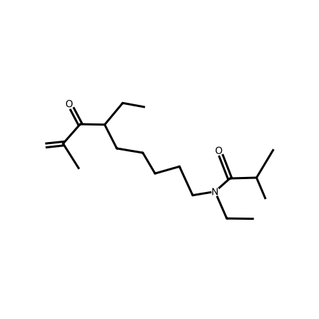 C=C(C)C(=O)C(CC)CCCCCN(CC)C(=O)C(C)C